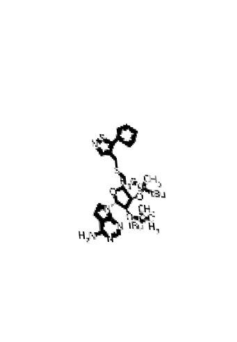 CC(C)(C)[Si](C)(C)O[C@@H]1[C@H](O[Si](C)(C)C(C)(C)C)[C@@H](CSCc2cnsc2-c2ccccc2)O[C@H]1n1ccc2c(N)ncnc21